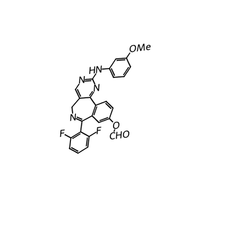 COc1cccc(Nc2ncc3c(n2)-c2ccc(OC=O)cc2C(c2c(F)cccc2F)=NC3)c1